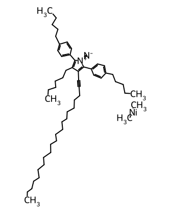 CCCCCCCCCCCCCCCCCCCC#CC1=C(c2ccc(CCCCC)cc2)[N+](=[N-])C(c2ccc(CCCCC)cc2)=C1CCCCCC.[CH3][Ni][CH3]